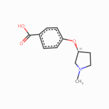 CN1CC[C@H](Oc2ccc(C(=O)O)cc2)C1